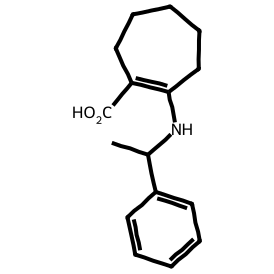 CC(NC1=C(C(=O)O)CCCCC1)c1ccccc1